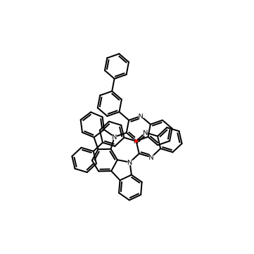 c1ccc(-c2cccc(-c3nc4ccccc4nc3-n3c4ccccc4c4ccc5c6ccccc6n(-c6nc7ccccc7nc6-c6cccc(-c7ccccc7)c6)c5c43)c2)cc1